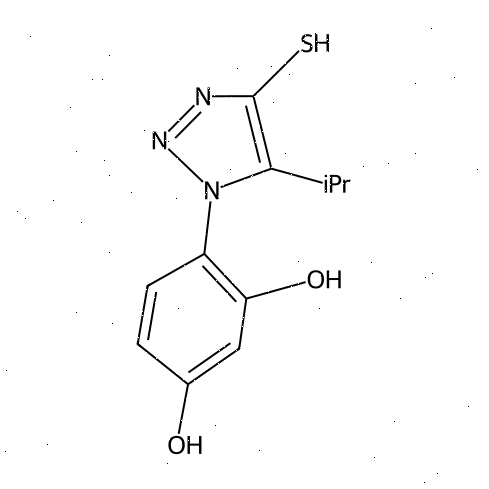 CC(C)c1c(S)nnn1-c1ccc(O)cc1O